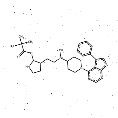 CN(CCC1CCNC1OC(=O)C(C)(C)C)C1CCN(c2ncnc3scc(-c4ccccc4)c23)CC1